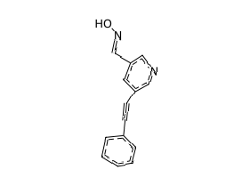 ON=Cc1cncc(C#Cc2ccccc2)c1